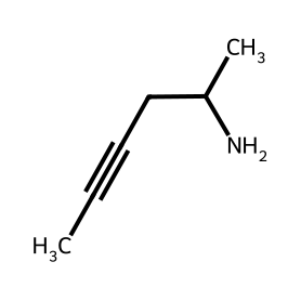 CC#CCC(C)N